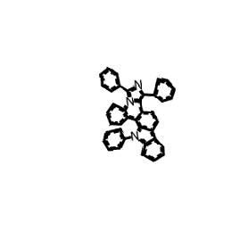 c1ccc(-c2nc(-c3ccccc3)n3c4ccccc4c4c(ccc5c6ccccc6n(-c6ccccc6)c54)c23)cc1